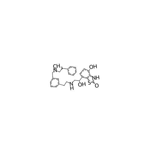 CN(CCc1ccccc1)Cc1cccc(CCNCC(O)c2ccc(O)c3[nH]c(=O)sc23)c1